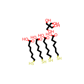 O=C(O)CCCCCCS.O=C(O)CCCCCCS.O=C(O)CCCCCCS.O=C(O)CCCCCCS.OCC(CO)(CO)CO